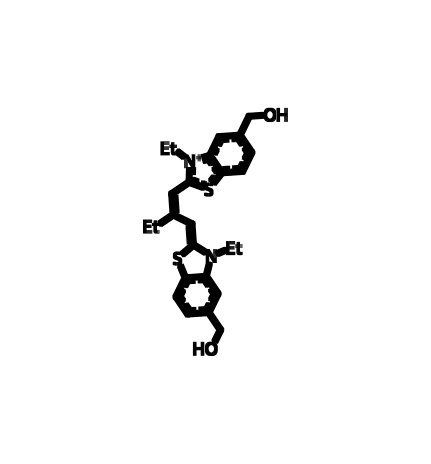 CCC(=C/c1sc2ccc(CO)cc2[n+]1CC)/C=C1\Sc2ccc(CO)cc2N1CC